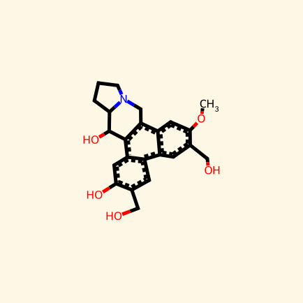 COc1cc2c3c(c4cc(O)c(CO)cc4c2cc1CO)C(O)C1CCCN1C3